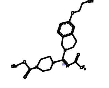 CC(C)(C)OC(=O)N1CCN(/C(=N/C(=O)C(F)(F)F)N2CCc3cc(OCCO)ccc3C2)CC1